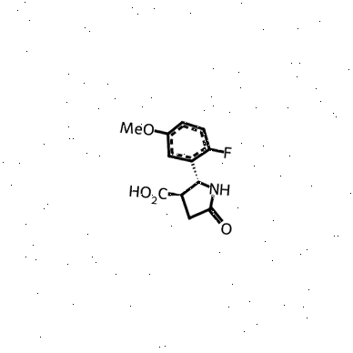 COc1ccc(F)c([C@@H]2NC(=O)C[C@H]2C(=O)O)c1